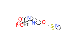 CC[C@@]1(O)C(=O)OCC2=C1C=C1c3nc4ccc(OCCCSSc5ccccn5)cc4cc3CN1C2